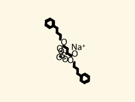 O=C(CC(C(=O)OCCCCc1ccccc1)S(=O)(=O)[O-])OCCCCc1ccccc1.[Na+]